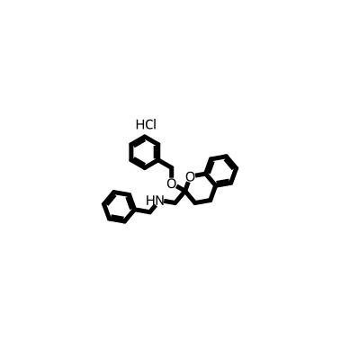 Cl.c1ccc(CNCC2(OCc3ccccc3)CCc3ccccc3O2)cc1